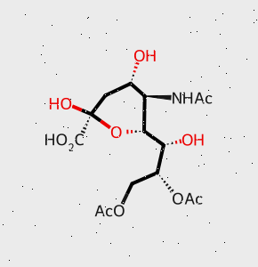 CC(=O)N[C@H]1[C@H]([C@H](O)[C@@H](COC(C)=O)OC(C)=O)O[C@](O)(C(=O)O)C[C@@H]1O